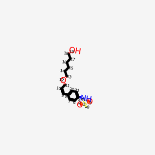 CS(=O)(=O)Nc1ccc(/C=C\COCCCCCCO)cc1